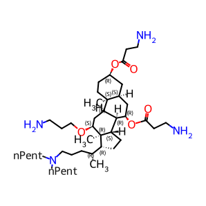 CCCCCN(CCCCC)CCC[C@@H](C)[C@H]1CC[C@H]2[C@@H]3[C@H](OC(=O)CCN)C[C@@H]4C[C@H](OC(=O)CCN)CC[C@]4(C)[C@H]3C[C@H](OCCCN)[C@]12C